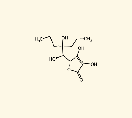 CCCC(O)(CCC)[C@H](O)[C@H]1OC(=O)C(O)=C1O